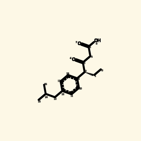 CC[C@@H](C(=O)CC(=O)O)c1ccc(CC(C)C)cc1